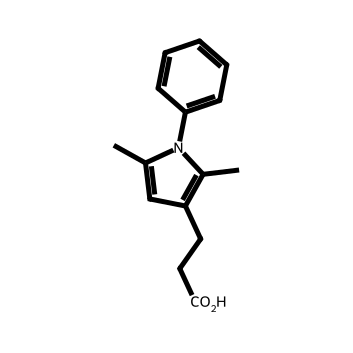 Cc1cc(CCC(=O)O)c(C)n1-c1ccccc1